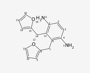 Nc1ccc(N)c(Cc2ccco2)c1Cc1ccco1